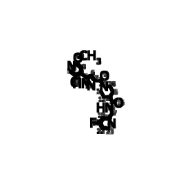 COc1cc(-c2cc(C(=O)N3CCC(C(=O)NCc4cc(F)ccn4)CC3)n[nH]2)c(Cl)cn1